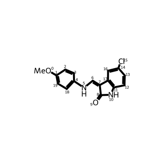 COc1ccc(NC=C2C(=O)Nc3ccc(Cl)cc32)cc1